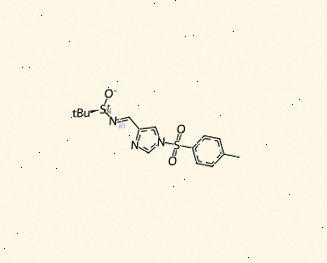 Cc1ccc(S(=O)(=O)n2cnc(/C=N/[S@+]([O-])C(C)(C)C)c2)cc1